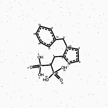 O=P(O)(O)C(Cc1nccn1Cc1ccccc1)P(=O)(O)O